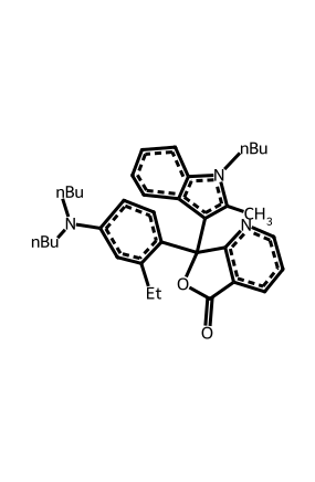 CCCCN(CCCC)c1ccc(C2(c3c(C)n(CCCC)c4ccccc34)OC(=O)c3cccnc32)c(CC)c1